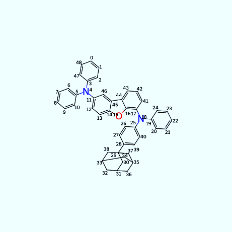 c1ccc(N(c2ccccc2)c2ccc3oc4c(N(c5ccccc5)c5ccc(C67CC8CC(CC(C8)C6)C7)cc5)cccc4c3c2)cc1